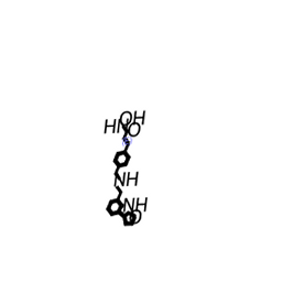 O=C(/C=C/c1ccc(CNCCc2cccc3c2[nH]c2occc23)cc1)NO